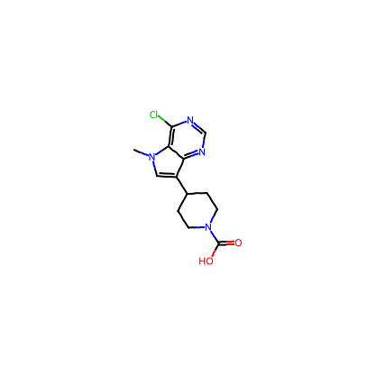 Cn1cc(C2CCN(C(=O)O)CC2)c2ncnc(Cl)c21